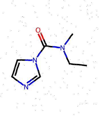 CCN(C)C(=O)n1ccnc1